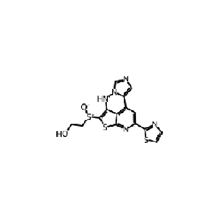 [O-][S+](CCO)c1sc2nc(-c3nccs3)cc3c2c1[nH]n1cncc31